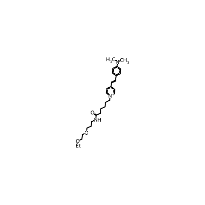 CCOCCOCCCNC(=O)CCCCC[n+]1ccc(C=Cc2ccc(N(C)C)cc2)cc1